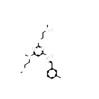 CNCCOc1nc(N/N=C/c2cccc(C)c2)cc(N(C)CCOC)n1